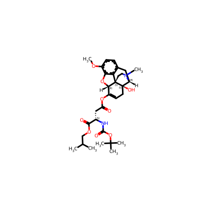 COc1ccc2c3c1O[C@H]1C(OC(=O)C[C@H](NC(=O)OC(C)(C)C)C(=O)OCC(C)C)=CC[C@@]4(O)[C@@H](C2)N(C)CC[C@]314